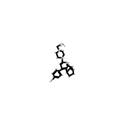 CCN1CCN(c2cc(-c3ccc(F)cc3)c3c(n2)CC2CCC3C2)CC1